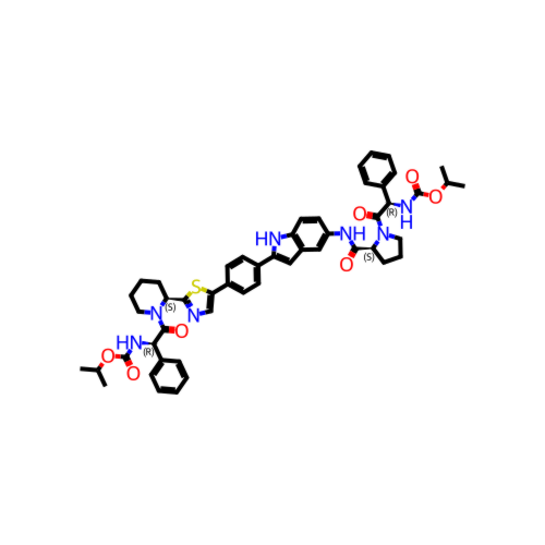 CC(C)OC(=O)N[C@@H](C(=O)N1CCC[C@H]1C(=O)Nc1ccc2[nH]c(-c3ccc(-c4cnc([C@@H]5CCCCN5C(=O)[C@H](NC(=O)OC(C)C)c5ccccc5)s4)cc3)cc2c1)c1ccccc1